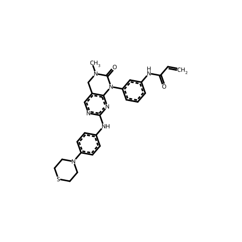 C=CC(=O)Nc1cccc(N2C(=O)N(C)Cc3cnc(Nc4ccc(N5CCSCC5)cc4)nc32)c1